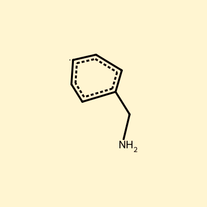 NCc1cc[c]cc1